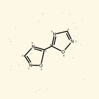 [c]1noc(-c2ncno2)n1